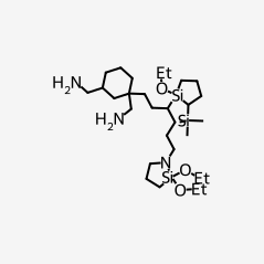 CCO[Si]1(C(CCCN2CCC[Si]2(OCC)OCC)CCC2(CN)CCCC(CN)C2)CCCC1[Si](C)(C)C